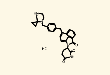 Cl.O=C1CCC(N2C(=O)c3cccc4c(Cc5ccc(CN6CCNCC67CC7)cc5)ccc2c34)C(=O)N1